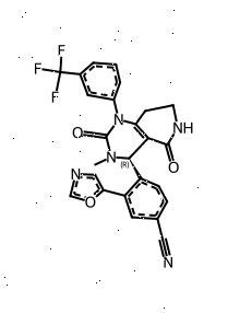 CN1C(=O)N(c2cccc(C(F)(F)F)c2)C2=C(C(=O)NCC2)[C@H]1c1ccc(C#N)cc1-c1cnco1